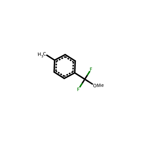 COC(F)(F)c1ccc(C)cc1